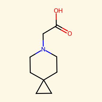 O=C(O)CN1CCC2(CC1)CC2